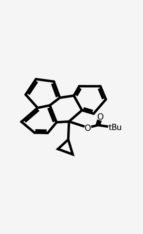 CC(C)(C)C(=O)OC1(C2CC2)c2ccccc2-c2cccc3cccc1c23